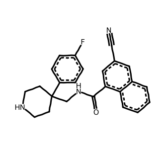 N#Cc1cc(C(=O)NCC2(c3ccc(F)cc3)CCNCC2)c2ccccc2c1